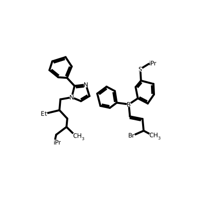 CC(Br)C=CB(c1ccccc1)c1cccc(SC(C)C)c1.CCC(CC(C)CC(C)C)Cn1ccnc1-c1ccccc1